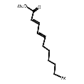 COC(=O)C=CC=CCCCCCC(C)=O